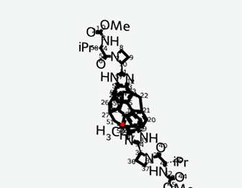 COC(=O)N[C@H](C(=O)N1CC[C@H]1c1nc2cc(-c3cc4ccc3CCc3ccc(c(-c5ccc6[nH]c([C@@H]7CCN7C(=O)[C@@H](NC(=O)OC)C(C)C)nc6c5)c3)C[C@H]4C)ccc2[nH]1)C(C)C